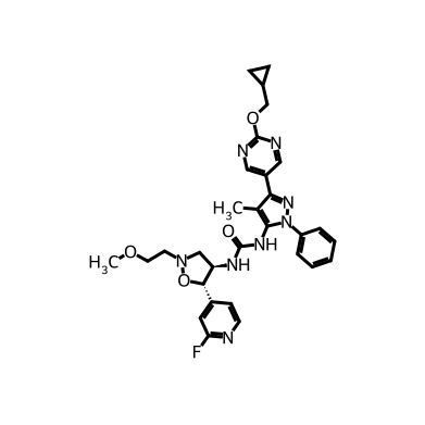 COCCN1C[C@@H](NC(=O)Nc2c(C)c(-c3cnc(OCC4CC4)nc3)nn2-c2ccccc2)[C@H](c2ccnc(F)c2)O1